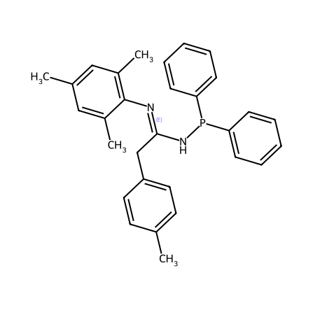 Cc1ccc(C/C(=N\c2c(C)cc(C)cc2C)NP(c2ccccc2)c2ccccc2)cc1